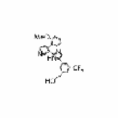 COc1ccccc1-c1ccncc1-c1ncc(-c2cc(CCO)cc(C(F)(F)F)c2)[nH]1